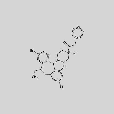 CCC1Cc2cc(Cl)cc(Cl)c2C(N2CC[N+]([O-])(C(=O)Cc3ccncc3)CC2)c2ncc(Br)cc21